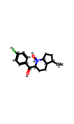 CC(=O)OC1CCC2C1CCC(C(=O)c1ccc(F)cc1)[N+]2=O